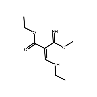 CCN/C=C(\C(=N)OC)C(=O)OCC